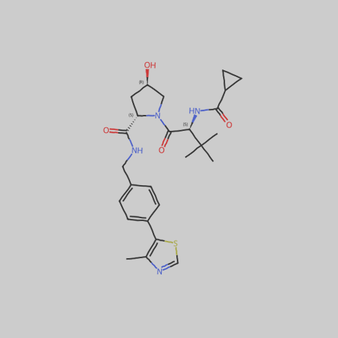 Cc1ncsc1-c1ccc(CNC(=O)[C@@H]2C[C@@H](O)CN2C(=O)[C@@H](NC(=O)C2CC2)C(C)(C)C)cc1